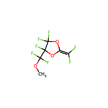 COC(F)(F)C1(F)OC(=C(F)F)OC1(F)F